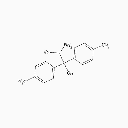 Cc1ccc(C(O)(c2ccc(C)cc2)C(N)C(C)C)cc1